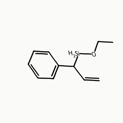 C=CC([SiH2]OCC)c1ccccc1